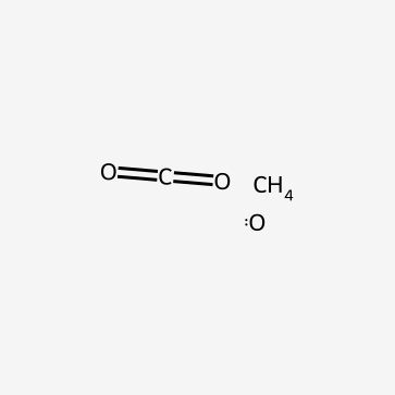 C.O=C=O.[O]